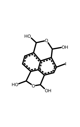 OC1OC(O)c2cc(I)c3c4c(ccc1c24)C(O)OC3O